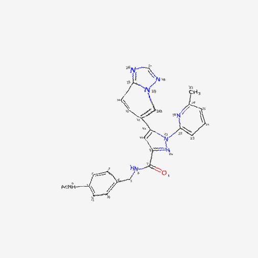 CC(=O)Nc1ccc(CNC(=O)c2cc(-c3ccc4ncnn4c3)n(-c3cccc(C)n3)n2)cc1